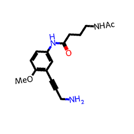 COc1ccc(NC(=O)CCCNC(C)=O)cc1C#CCN